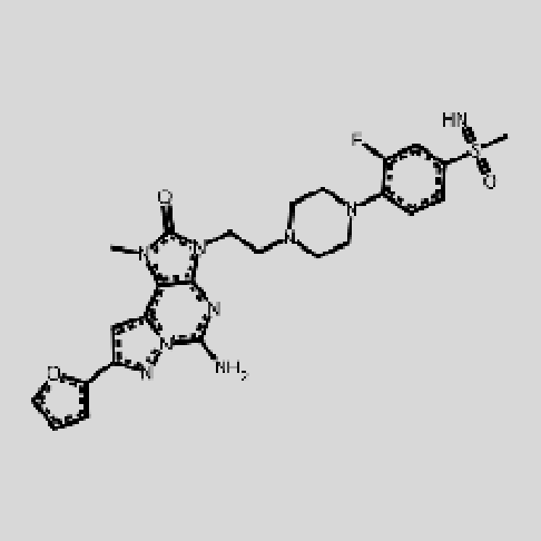 Cn1c(=O)n(CCN2CCN(c3ccc(S(C)(=N)=O)cc3F)CC2)c2nc(N)n3nc(-c4ccco4)cc3c21